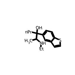 CCCC(O)(c1ccc2sccc2c1)C(C)NCC